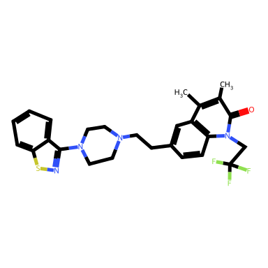 Cc1c(C)c2cc(CCN3CCN(c4nsc5ccccc45)CC3)ccc2n(CC(F)(F)F)c1=O